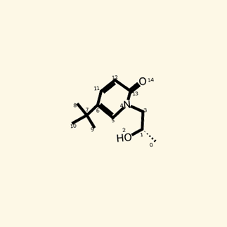 C[C@H](O)Cn1cc(C(C)(C)C)ccc1=O